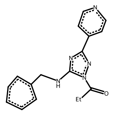 CCC(=O)n1nc(-c2ccncc2)nc1NCc1ccccc1